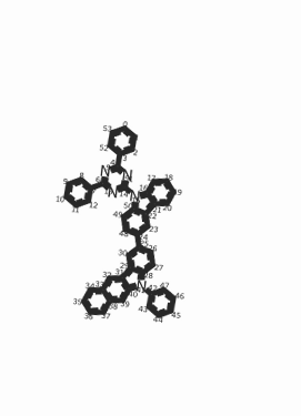 c1ccc(-c2nc(-c3ccccc3)nc(-n3c4ccccc4c4cc(-c5ccc6c(c5)c5cc7ccccc7cc5n6-c5ccccc5)ccc43)n2)cc1